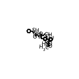 CCCC(=O)N(CCC(=O)NC[C@H](S)C1CCCCC1)Cc1ccc(-c2ccccc2S(=O)(=O)NC(C)=O)c(Cl)c1